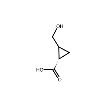 O=C(O)[C@H]1CC1CO